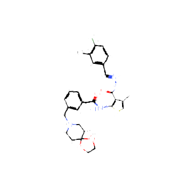 Cc1csc(NC(=O)c2cccc(CN3CCC4(CC3)OCCO4)c2)c1C(=O)NN=Cc1ccc(Cl)c(C(F)(F)F)c1